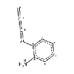 C=C=C=Cc1ccccc1N